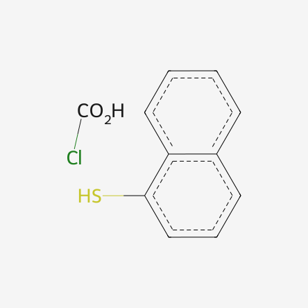 O=C(O)Cl.Sc1cccc2ccccc12